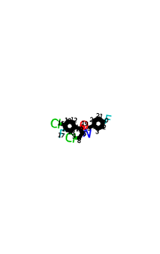 Fc1ccc(-c2nc(CCl)c(-c3ccc(Cl)c(F)c3)o2)cc1